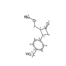 CC(C)(C)OCC1C(=O)CC1c1ccc(C(=O)O)cc1